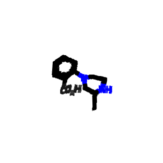 CC1CN(c2ccccc2C(=O)O)CCN1